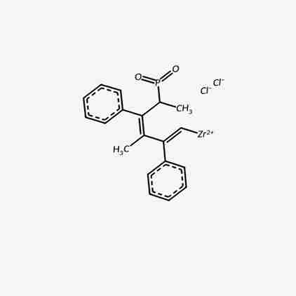 CC(C(=[CH][Zr+2])c1ccccc1)=C(c1ccccc1)C(C)P(=O)=O.[Cl-].[Cl-]